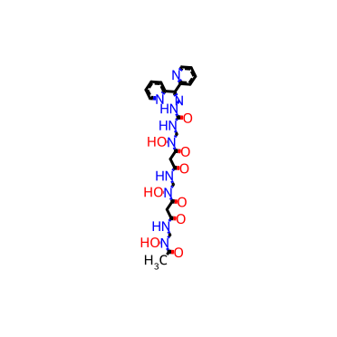 CC(=O)N(O)CNC(=O)CC(=O)N(O)CNC(=O)CC(=O)N(O)CNC(=O)NN=C(c1ccccn1)c1ccccn1